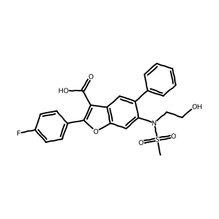 CS(=O)(=O)N(CCO)c1cc2oc(-c3ccc(F)cc3)c(C(=O)O)c2cc1-c1ccccc1